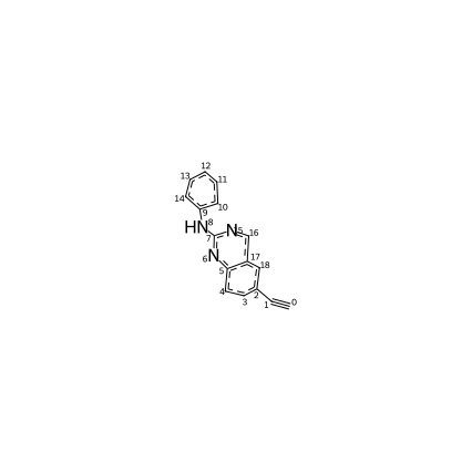 C#Cc1ccc2nc(Nc3ccccc3)ncc2c1